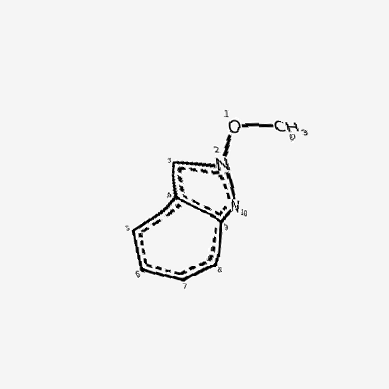 COn1cc2ccccc2n1